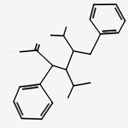 CC(C)C(Cc1ccccc1)C(C(C)C)C(C(=O)O)c1ccccc1